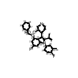 C=C(C)c1c(-c2ccncc2C(=O)O)c2c(OCc3ccccc3)cc(F)cc2n1-c1ccc(F)c(C)c1